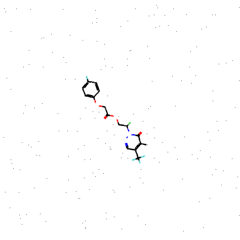 Cc1c(C(F)(F)F)cnn(C(Cl)COC(=O)COc2ccc(F)cc2)c1=O